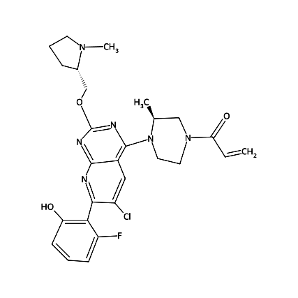 C=CC(=O)N1CCN(c2nc(OC[C@@H]3CCCN3C)nc3nc(-c4c(O)cccc4F)c(Cl)cc23)[C@@H](C)C1